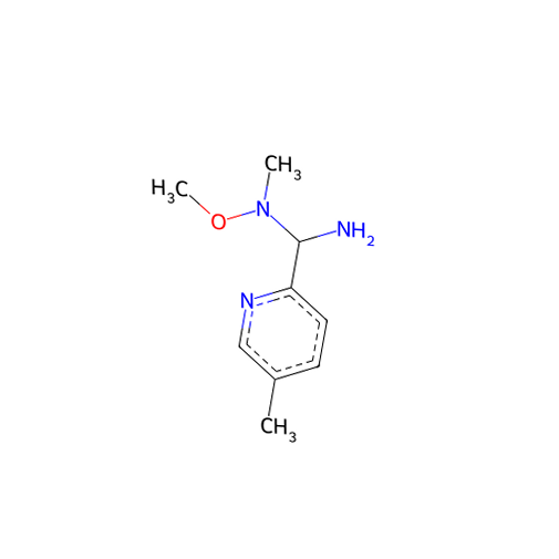 CON(C)C(N)c1ccc(C)cn1